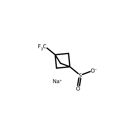 O=S([O-])C12CC(C(F)(F)F)(C1)C2.[Na+]